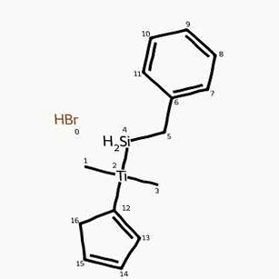 Br.[CH3][Ti]([CH3])([SiH2]Cc1ccccc1)[C]1=CC=CC1